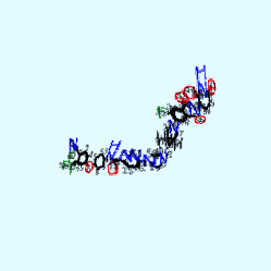 N#Cc1ccc(O[C@H]2CC[C@H](NC(=O)c3ccc(N4CCN(C[C@@H]5[C@H]6CN(c7cc8c(cc7F)C(=O)N(C7CCC(=O)NC7=O)C8=O)C[C@@H]56)CC4)nn3)CC2)cc1C(F)(F)F